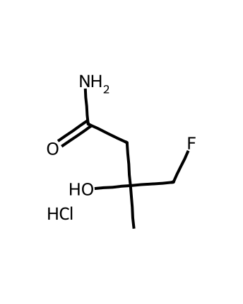 CC(O)(CF)CC(N)=O.Cl